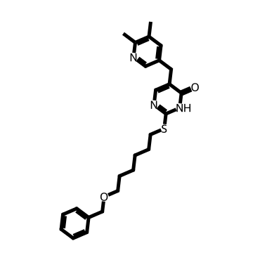 Cc1cc(Cc2cnc(SCCCCCCOCc3ccccc3)[nH]c2=O)cnc1C